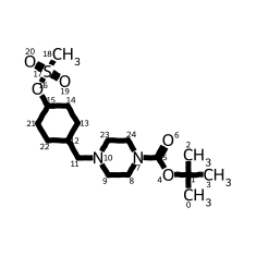 CC(C)(C)OC(=O)N1CCN(CC2CCC(OS(C)(=O)=O)CC2)CC1